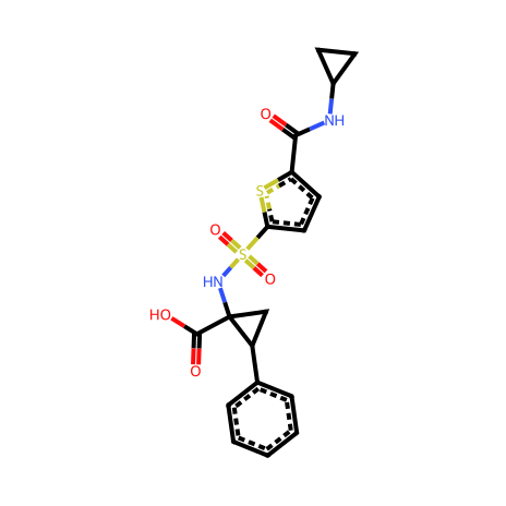 O=C(NC1CC1)c1ccc(S(=O)(=O)NC2(C(=O)O)CC2c2ccccc2)s1